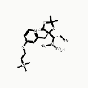 CC(C)C[C@H](N(C(=O)O)C(C)(C)C)[C@@]1(Cc2cc(SCC[Si](C)(C)C)ccn2)OC(C)(C)OC1=O